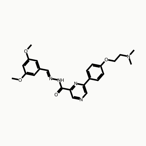 COc1cc(C=NNC(=O)c2cncc(-c3ccc(OCCN(C)C)cc3)n2)cc(OC)c1